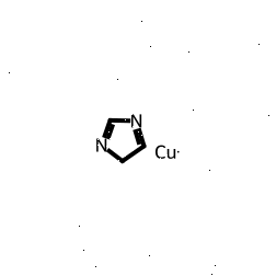 C1=NC=NC1.[Cu]